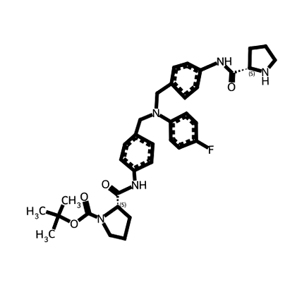 CC(C)(C)OC(=O)N1CCC[C@H]1C(=O)Nc1ccc(CN(Cc2ccc(NC(=O)[C@@H]3CCCN3)cc2)c2ccc(F)cc2)cc1